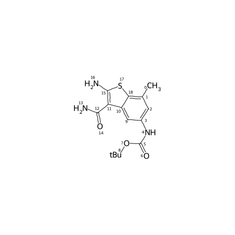 Cc1cc(NC(=O)OC(C)(C)C)cc2c(C(N)=O)c(N)sc12